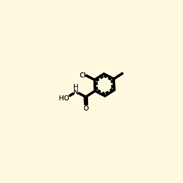 Cc1ccc(C(=O)NO)c(Cl)c1